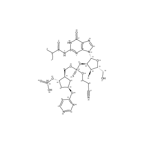 CC(C)C(=O)Nc1nc2c(ncn2[C@@H]2O[C@H](CO)[C@@H](F)[C@H]2OP(=S)(OCCC#N)OC[C@H]2C[C@@H](Oc3ccncn3)C[C@@H]2O[PH](=O)O)c(=O)[nH]1